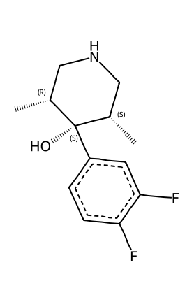 C[C@@H]1CNC[C@H](C)[C@@]1(O)c1ccc(F)c(F)c1